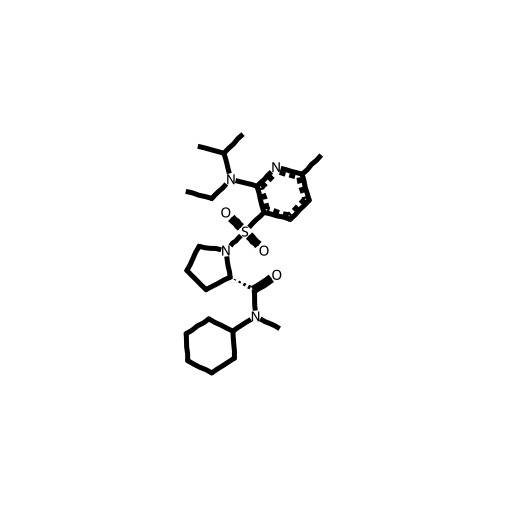 CCN(c1nc(C)ccc1S(=O)(=O)N1CCC[C@H]1C(=O)N(C)C1CCCCC1)C(C)C